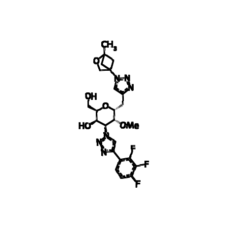 CO[C@@H]1[C@@H](n2cc(-c3ccc(F)c(F)c3F)nn2)[C@@H](O)[C@@H](CO)O[C@@H]1Cc1cn(C23COC(C)(C2)C3)nn1